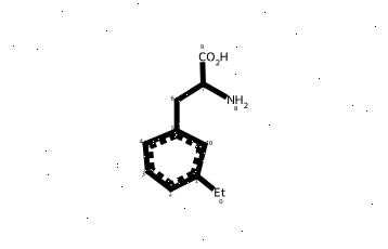 CCc1cccc(CC(N)C(=O)O)c1